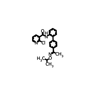 C/C(=N\OC(C)C)c1ccc(-c2ccccc2NC(=O)c2cccnc2Cl)cc1